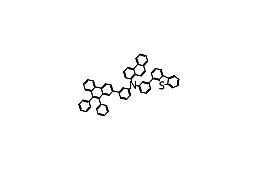 c1ccc(-c2c(-c3ccccc3)c3cc(-c4cccc(N(c5cccc(-c6cccc7c6sc6ccccc67)c5)c5cccc6c5ccc5ccccc56)c4)ccc3c3ccccc23)cc1